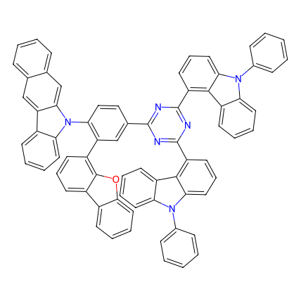 c1ccc(-n2c3ccccc3c3c(-c4nc(-c5ccc(-n6c7ccccc7c7cc8ccccc8cc76)c(-c6cccc7c6oc6ccccc67)c5)nc(-c5cccc6c5c5ccccc5n6-c5ccccc5)n4)cccc32)cc1